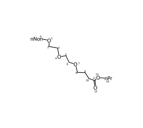 CCCCCCCCCOCCOCCOCCCC(=O)OCCC